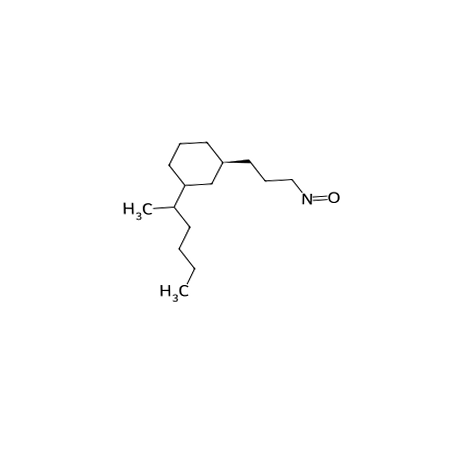 CCCCC(C)C1CCC[C@@H](CCCN=O)C1